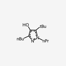 CCCCc1nn(CCC)c(C(C)(C)C)c1O